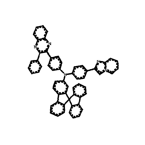 c1ccc(-c2nc3ccccc3nc2-c2ccc(N(c3ccc(-c4cn5ccccc5n4)cc3)c3ccc4c(c3)C3(c5ccccc5-c5ccccc53)c3ccccc3-4)cc2)cc1